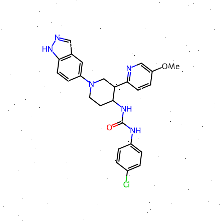 COc1ccc(C2CN(c3ccc4[nH]ncc4c3)CCC2NC(=O)Nc2ccc(Cl)cc2)nc1